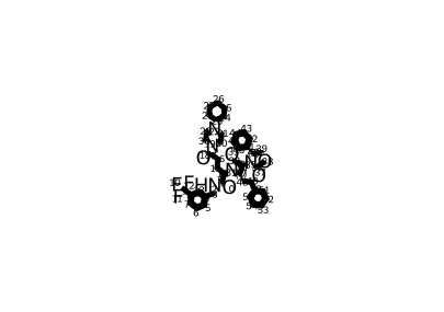 O=C(NCc1cccc(C(F)(F)F)c1)C(CCC(=O)N1CCN(C2CCCCC2)CC1)N1C(=O)[C@@H](N2C(=O)OC[C@@H]2c2ccccc2)[C@H]1CCc1ccccc1